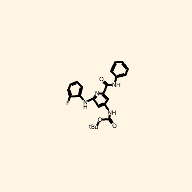 CC(C)(C)OC(=O)Nc1cc(Nc2ccccc2F)nc(C(=O)Nc2ccccc2)c1